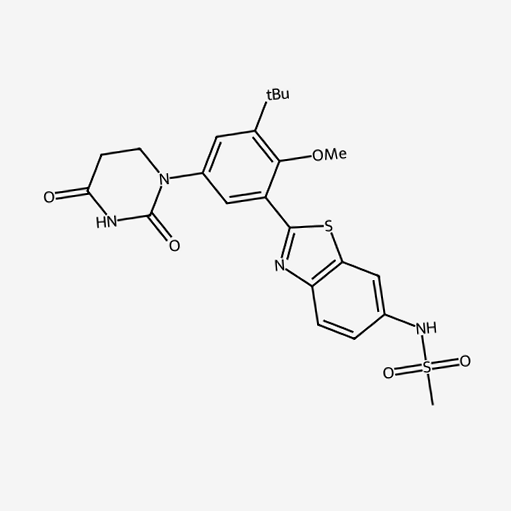 COc1c(-c2nc3ccc(NS(C)(=O)=O)cc3s2)cc(N2CCC(=O)NC2=O)cc1C(C)(C)C